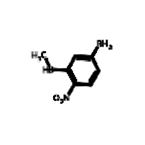 Bc1ccc([N+](=O)[O-])c(BC)c1